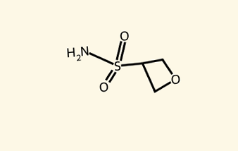 NS(=O)(=O)C1COC1